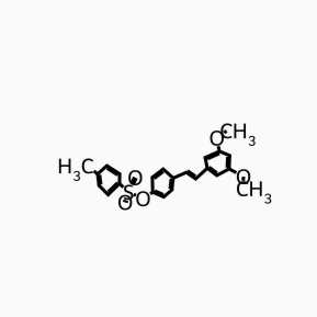 COc1cc(C=Cc2ccc(OS(=O)(=O)c3ccc(C)cc3)cc2)cc(OC)c1